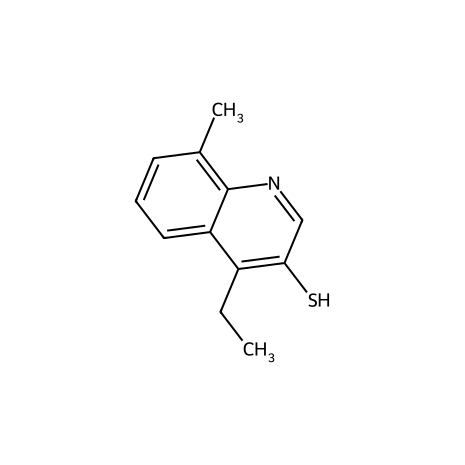 CCc1c(S)cnc2c(C)cccc12